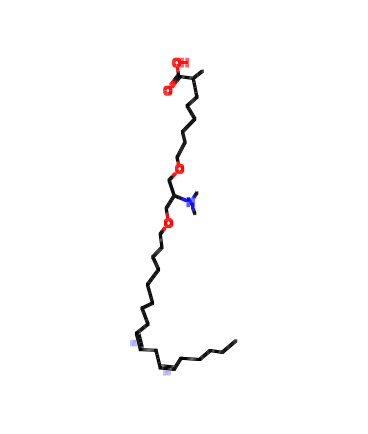 CCCCC/C=C\C/C=C\CCCCCCCCOCC(COCCCCCCC(C)C(=O)O)N(C)C